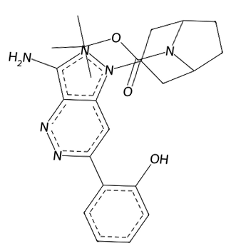 CC(C)(C)OC(=O)N1C2CCC1CC(n1nc(N)c3nnc(-c4ccccc4O)cc31)C2